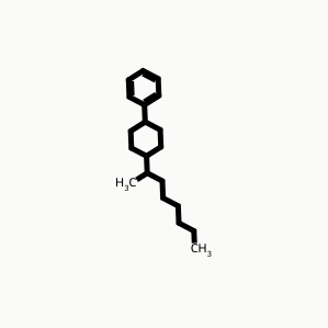 CCCCCCC(C)C1CCC(c2ccccc2)CC1